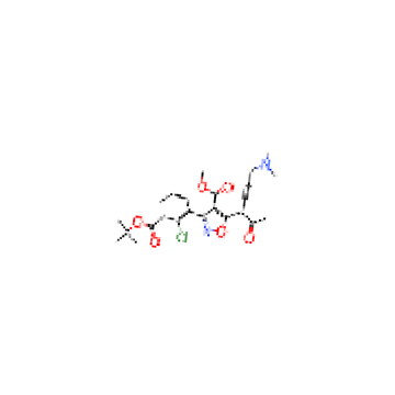 C/C=C\C(=C(\Cl)CC(=O)OC(C)(C)C)c1noc(C(C#CCN(C)C)C(C)=O)c1C(=O)OC